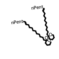 CCCCCC=CCCCCCCCCCCC1(OC2(CCCCCCCCCCC=CCCCCC)CCCCO2)CCCCO1